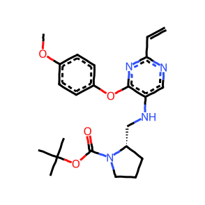 C=Cc1ncc(NC[C@@H]2CCCN2C(=O)OC(C)(C)C)c(Oc2ccc(OC)cc2)n1